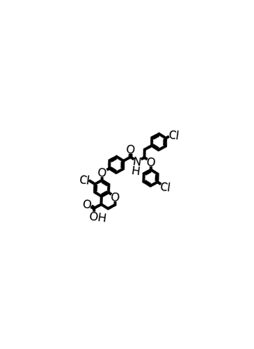 O=C(NC(Cc1ccc(Cl)cc1)Oc1cccc(Cl)c1)c1ccc(Oc2cc3c(cc2Cl)C(C(=O)O)CCO3)cc1